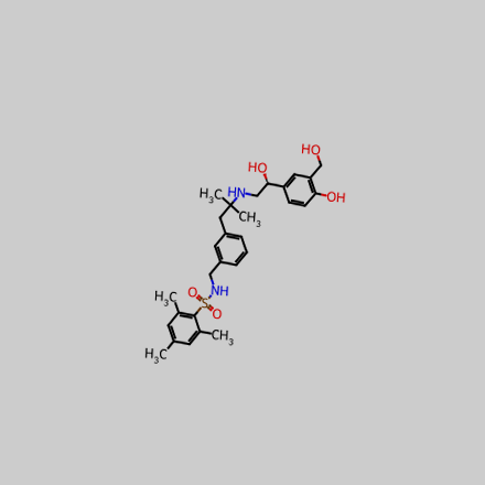 Cc1cc(C)c(S(=O)(=O)NCc2cccc(CC(C)(C)NC[C@@H](O)c3ccc(O)c(CO)c3)c2)c(C)c1